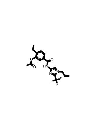 C=CCn1cc(NC(=O)c2ccc(CC)c(OC(C)=O)c2)nc1C(F)(F)F